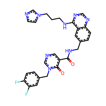 O=C(NCc1ccc2ncnc(NCCCn3ccnc3)c2c1)c1cncn(Cc2ccc(F)c(F)c2)c1=O